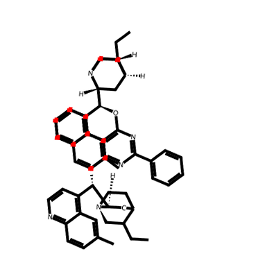 CCC1C[N@@]2CCC1C[C@@H]2[C@@H](Oc1nc(-c2ccccc2)nc(O[C@@H](c2ccnc3ccc(C)cc23)[C@H]2C[C@H]3CCN2C[C@@H]3CC)c1-c1ccccc1)c1ccnc2ccc(C)cc12